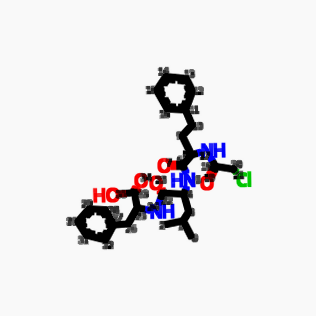 CC(C)CC(NC(=O)C(CCc1ccccc1)NC(=O)CCl)C(=O)NC(Cc1ccccc1)C(=O)O